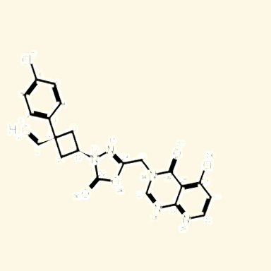 C=C[C@]1(c2ccc(Cl)cc2)C[C@H](n2nc(Cn3cnc4nccc(Cl)c4c3=O)oc2=O)C1